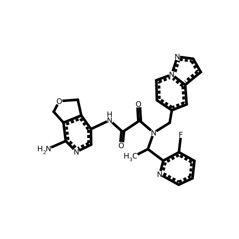 CC(c1ncccc1F)N(Cc1ccn2nccc2c1)C(=O)C(=O)Nc1cnc(N)c2c1COC2